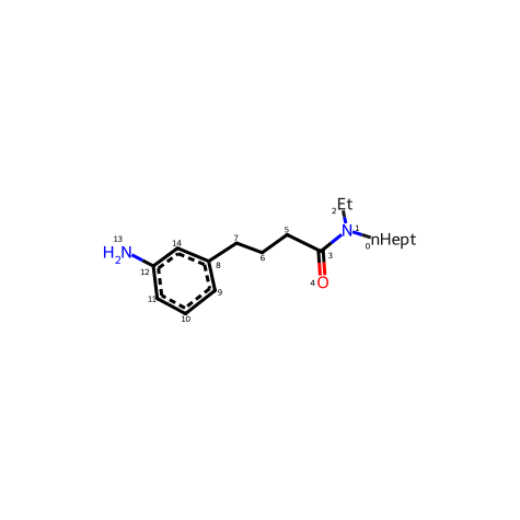 CCCCCCCN(CC)C(=O)CCCc1cccc(N)c1